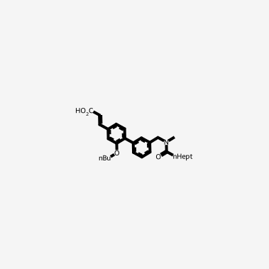 CCCCCCCC(=O)N(C)Cc1cccc(-c2ccc(C=CC(=O)O)cc2OCCCC)c1